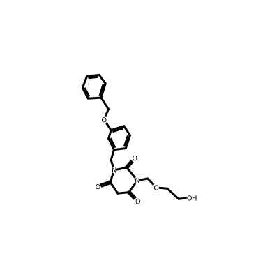 O=C1CC(=O)N(Cc2cccc(OCc3ccccc3)c2)C(=O)N1COCCO